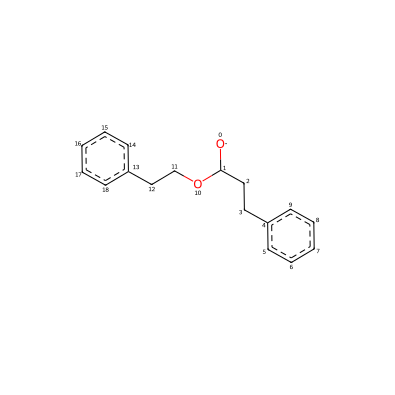 [O]C(CCc1ccccc1)OCCc1ccccc1